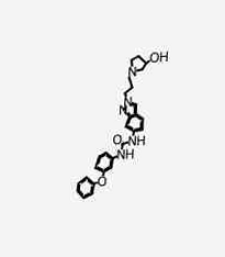 O=C(Nc1cccc(Oc2ccccc2)c1)Nc1ccc2cn(CCCN3CCC(O)C3)nc2c1